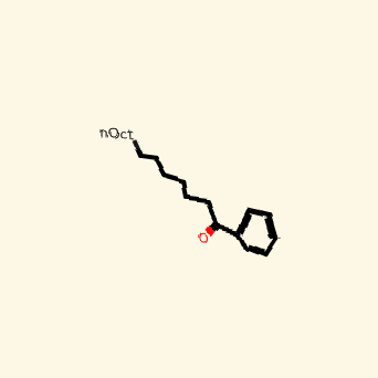 CCCCCCCCCCCCCCC(=O)c1cc[c]cc1